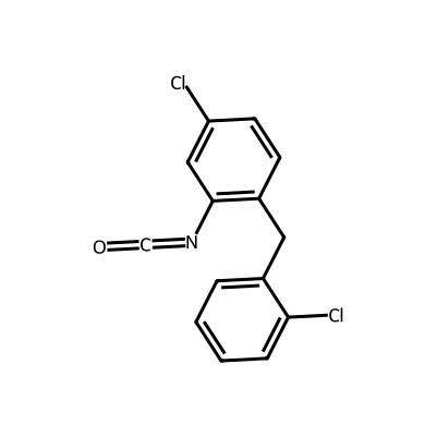 O=C=Nc1cc(Cl)ccc1Cc1ccccc1Cl